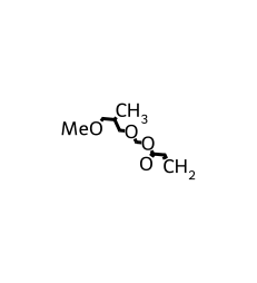 C=CC(=O)OCOCC(C)COC